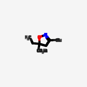 CCOC(=O)C1(CC(F)(F)F)CC(C(C)(C)C)=NO1